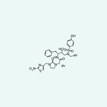 CC(C)CN(C[C@H](O)[C@H](Cc1ccccc1)NC(=O)[C@H](C(C)C)N1CCN(Cc2csc([N+](=O)[O-])n2)C1=O)S(=O)(=O)c1ccc(O)cc1